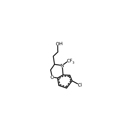 OCCC1COc2ccc(Cl)cc2N1C(F)(F)F